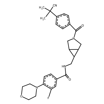 CC(C)(C#N)c1ccc(C(=O)N2CC3C(CNC(=O)c4ccc(N5CCOCC5)c(F)c4)C3C2)cc1